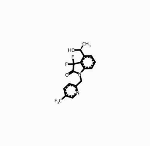 C[C@H](O)c1cccc2c1C(F)(F)C(=O)N2Cc1ccc(C(F)(F)F)cn1